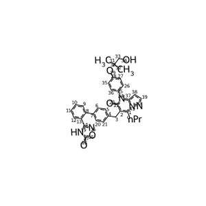 CCCc1c(Cc2ccc(-c3ccccc3-c3noc(=O)[nH]3)cc2)c(=O)n(-c2ccc(OC(C)(C)CO)cc2)c2ccnn12